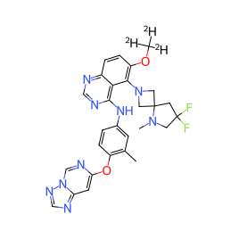 [2H]C([2H])([2H])Oc1ccc2ncnc(Nc3ccc(Oc4cc5ncnn5cn4)c(C)c3)c2c1N1CC2(C1)CC(F)(F)CN2C